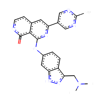 COc1ncc(-c2cc3cc[nH]c(=O)c3c(Nc3ccc4c(CN(C)C)n[nH]c4c3)n2)cn1